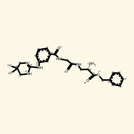 N[C@@H](CNC(=O)CNC(=O)c1cccc(NC2=NCC(F)(F)CN2)c1)C(=O)OCc1ccccc1